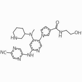 CN(c1cc(Nc2cnc(C#N)cn2)ncc1-n1ccc(C(=O)NCCO)c1)C1CCCNC1